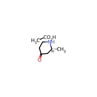 CC(=O)O.C[C@@H]1CC(=O)CCN1